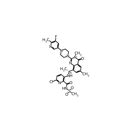 Cc1cc([C@@H](C)Nc2ccc(Cl)nc2C(=O)NS(C)(=O)=O)c2nc(N3CCN(c4cnc(C)c(F)c4)CC3)n(C)c(=O)c2c1